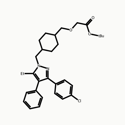 CCc1c(-c2ccccc2)c(-c2ccc(Cl)cc2)nn1CC1CCC(COCC(=O)OC(C)(C)C)CC1